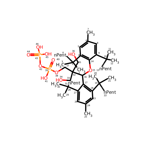 CCCCCC(C)(C)c1cc(C)cc(C(C)(C)CCCCC)c1OC(c1c(C(C)(C)CCCCC)cc(C)cc1C(C)(C)CCCCC)C(CO)(CO)COP(=O)(O)OP(=O)(O)O